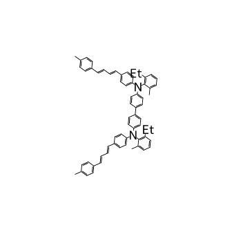 CCc1cccc(C)c1N(c1ccc(/C=C/C=C/c2ccc(C)cc2)cc1)c1ccc(-c2ccc(N(c3ccc(/C=C/C=C/c4ccc(C)cc4)cc3)c3c(C)cccc3CC)cc2)cc1